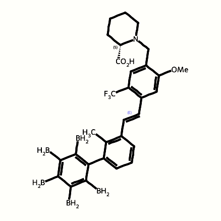 Bc1c(B)c(B)c(-c2cccc(/C=C/c3cc(OC)c(CN4CCCC[C@H]4C(=O)O)cc3C(F)(F)F)c2C)c(B)c1B